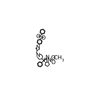 COC(=O)N[C@@H]1CCC[C@H]1C(C#N)(c1ccccc1)C1CCN(CC2CN(c3ccc(S(=O)(=O)c4ccccc4)cc3)C2)CC1